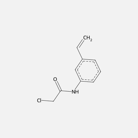 C=Cc1cccc(NC(=O)CCl)c1